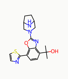 CC(C)(O)c1ccc(-c2nccs2)c2oc(N3CC4CCC(C3)N4)nc12